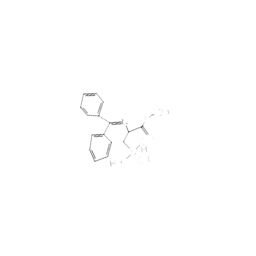 CC(C)(C)OC(=O)C(CS(C)(C)C)N=C(c1ccccc1)c1ccccc1